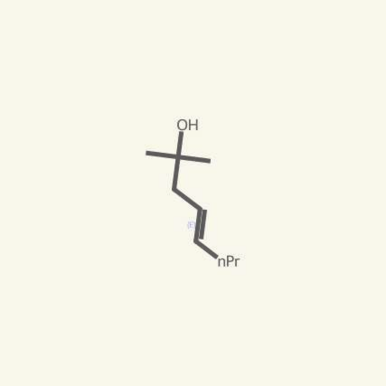 C[CH]C/C=C/CC(C)(C)O